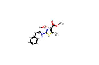 COC(=O)c1nc(N[C@@H](CO)Cc2ccccc2)sc1C